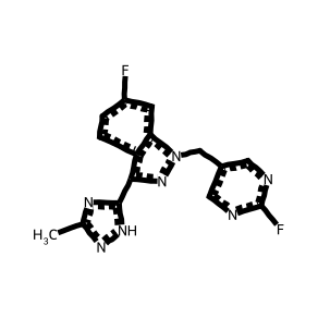 Cc1n[nH]c(-c2nn(Cc3cnc(F)nc3)c3cc(F)ccc23)n1